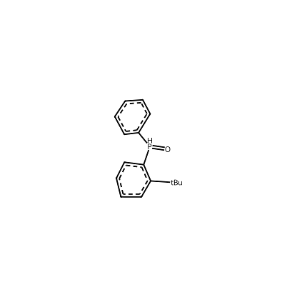 CC(C)(C)c1ccccc1[PH](=O)c1ccccc1